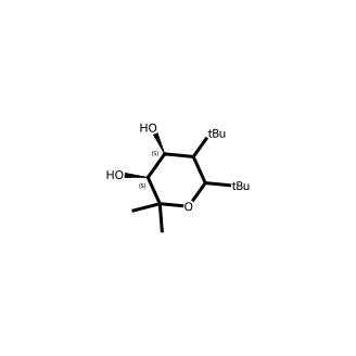 CC(C)(C)C1OC(C)(C)[C@@H](O)[C@@H](O)C1C(C)(C)C